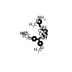 COc1ccc(C(CNc2ncc3n(c2=O)C(C(=O)NCc2ccc(N)nc2C)CC3)c2ccc(OC)cc2)cc1.Cl.Cl